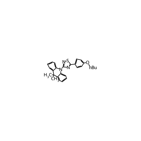 CCCCOc1ccc(-c2nc(N3c4ccccc4C(C)(C)c4ccccc43)ns2)cc1